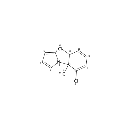 FC(F)(F)C1(n2[c]ccc2)C(Cl)=CC=CC1Cl